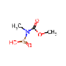 COC(=O)N(C)S(=O)O